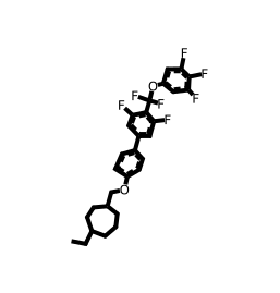 CCC1CCCC(COc2ccc(-c3cc(F)c(C(F)(F)Oc4cc(F)c(F)c(F)c4)c(F)c3)cc2)CC1